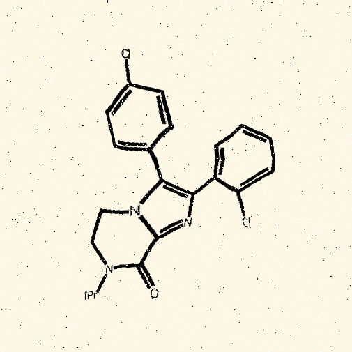 CC(C)N1CCn2c(nc(-c3ccccc3Cl)c2-c2ccc(Cl)cc2)C1=O